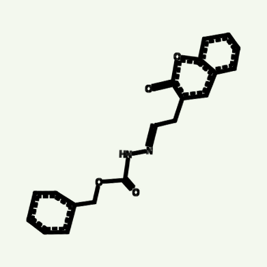 O=C(NN=CCc1cc2ccccc2oc1=O)OCc1ccccc1